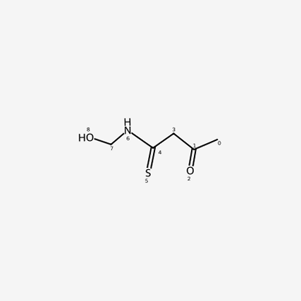 CC(=O)CC(=S)NCO